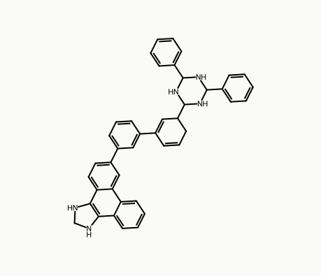 C1=CC(c2cccc(-c3ccc4c5c(c6ccccc6c4c3)NCN5)c2)=CC(C2NC(c3ccccc3)NC(c3ccccc3)N2)C1